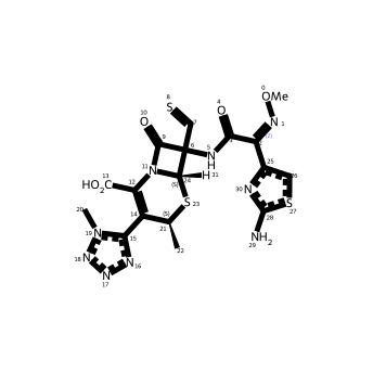 CO/N=C(\C(=O)NC1(C=S)C(=O)N2C(C(=O)O)=C(c3nnnn3C)[C@H](C)S[C@H]21)c1csc(N)n1